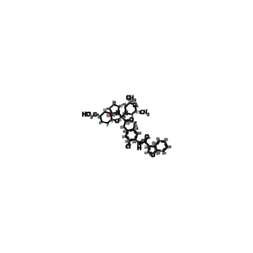 C[C@@H]1CN(C(O[C@H]2CC[C@H](C(=O)O)CC2)(C(=O)Cc2cc(Cl)c(NC(=O)c3coc4ccccc34)cc2F)N2CCCC2)C[C@H](C)O1